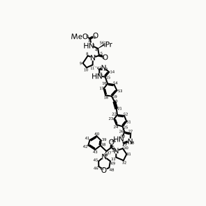 COC(=O)N[C@H](C(=O)N1CCC[C@H]1c1ncc(-c2ccc(C#Cc3ccc(-c4cnc([C@@H]5CCCN5C(=O)[C@@H](c5ccccc5)N5CCOCC5)[nH]4)cc3)cc2)[nH]1)C(C)C